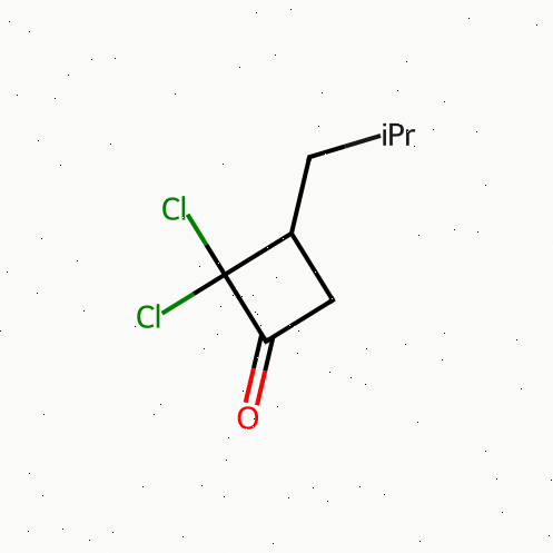 CC(C)CC1CC(=O)C1(Cl)Cl